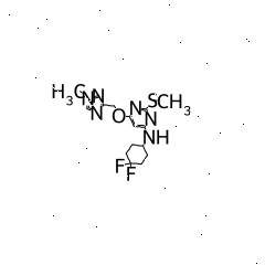 CSc1nc(NC2CCC(F)(F)CC2)cc(OCc2ncn(C)n2)n1